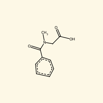 CN([CH]C(=O)O)C(=O)c1ccccc1